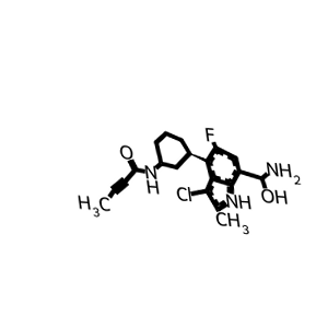 CC#CC(=O)NC1CCC[C@@H](c2c(F)cc(C(N)O)c3[nH]c(C)c(Cl)c23)C1